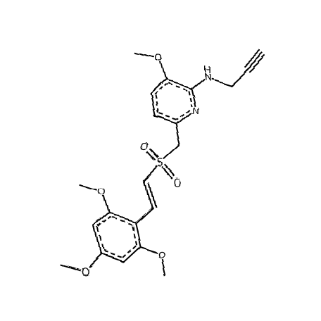 C#CCNc1nc(CS(=O)(=O)/C=C/c2c(OC)cc(OC)cc2OC)ccc1OC